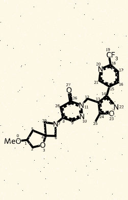 COC1COC2(C1)CN(c1cnn(Cc3c(-c4ccc(C(F)(F)F)nc4)noc3C)c(=O)c1)C2